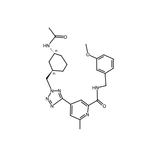 COc1cccc(CNC(=O)c2cc(-c3nnn(C[C@@H]4CCC[C@@H](NC(C)=O)C4)n3)cc(C)n2)c1